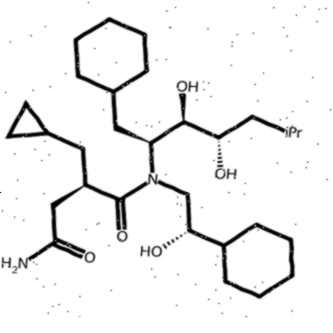 CC(C)C[C@H](O)[C@H](O)[C@H](CC1CCCCC1)N(C[C@@H](O)C1CCCCC1)C(=O)[C@@H](CC(N)=O)CC1CC1